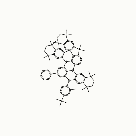 Cc1cc(C(C)(C)C)ccc1N1c2cc3c(cc2B2c4ccc5c(c4N(c4cc6c(cc4C)C(C)(C)CCC6(C)C)c4cc(-c6ccccc6)cc1c42)-c1cc2c(cc1C5(C)C)C(C)(C)CCC2(C)C)C(C)(C)CCC3(C)C